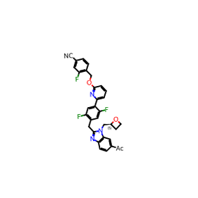 CC(=O)c1ccc2nc(Cc3cc(F)c(-c4cccc(OCc5ccc(C#N)cc5F)n4)cc3F)n(C[C@@H]3CCO3)c2c1